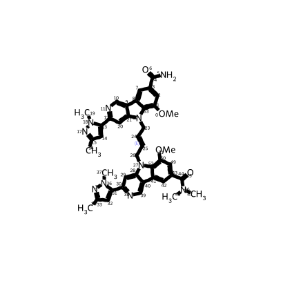 COc1cc(C(N)=O)cc2c3cnc(-c4cc(C)nn4C)cc3n(C/C=C/Cn3c4cc(-c5cc(C)nn5C)ncc4c4cc(C(=O)N(C)C)cc(OC)c43)c12